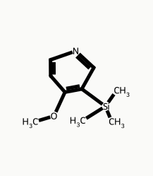 COc1ccncc1[Si](C)(C)C